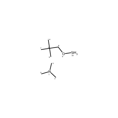 CN(C)C.[CH2]C(C)(C)CO[SiH3]